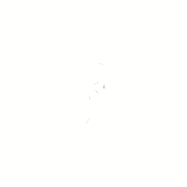 COC(=O)CCc1ccc(OC(CCC2=CCCCC2)C(=O)O)cc1